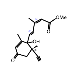 C#C[C@]1(C)CC(=O)C=C(C)C1(O)/C=C/C(C)=C\C(=O)OC